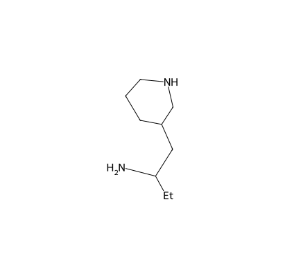 CCC(N)CC1CCCNC1